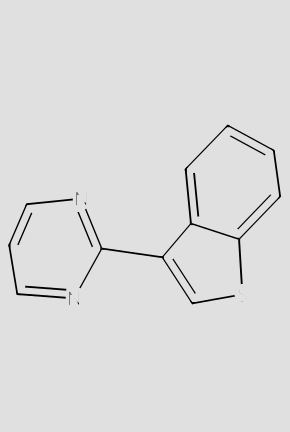 [c]1sc2ccccc2c1-c1ncccn1